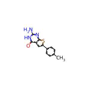 Cc1ccc(-c2cc3c(=O)[nH]c(N)nc3s2)cc1